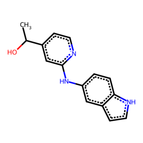 CC(O)c1ccnc(Nc2ccc3[nH]ccc3c2)c1